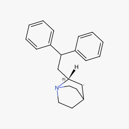 [CH]1C2CCN(CC2)[C@@H]1CC(c1ccccc1)c1ccccc1